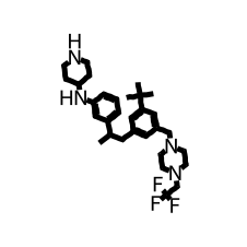 CC(Cc1cc(CN2CCN(CC(F)(F)F)CC2)cc(C(C)(C)C)c1)c1cccc(NC2CCNCC2)c1